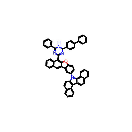 c1ccc(C2=NC(c3c4ccccc4cc4c3oc3ccc(-n5c6ccc7ccccc7c6c6ccc7ccccc7c65)cc34)=NC(c3ccc(-c4ccccc4)cc3)N2)cc1